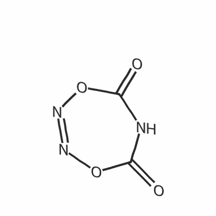 O=C1NC(=O)ON=NO1